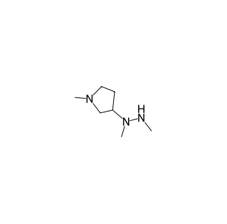 CNN(C)C1CCN(C)C1